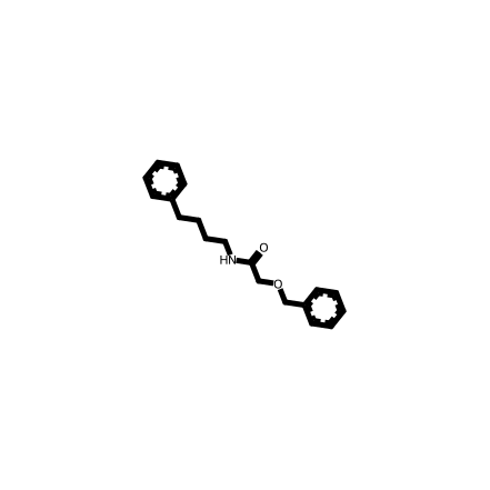 O=C(COCc1ccccc1)NCCCCc1ccccc1